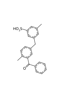 Cc1cc(Cc2ccc(C)c(C(=O)c3ccccc3)c2)cc(S(=O)(=O)O)c1